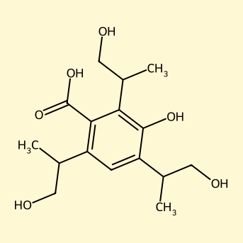 CC(CO)c1cc(C(C)CO)c(C(=O)O)c(C(C)CO)c1O